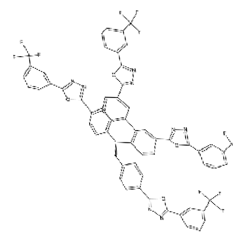 FC(F)(F)c1cccc(-c2nnc(-c3ccc(C[C@@H](c4ccc(-c5nnc(-c6cccc(C(F)(F)F)c6)o5)cc4)c4ccc(-c5nnc(-c6cccc(C(F)(F)F)c6)o5)cc4-c4cccc(-c5nnc(-c6cccc(C(F)(F)F)c6)o5)c4)cc3)o2)c1